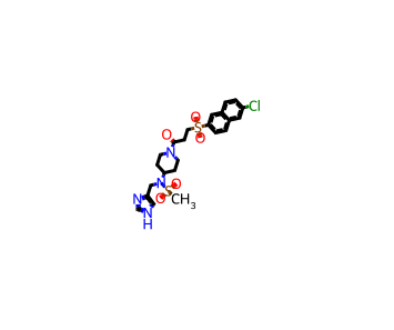 CS(=O)(=O)N(Cc1c[nH]cn1)C1CCN(C(=O)CCS(=O)(=O)c2ccc3cc(Cl)ccc3c2)CC1